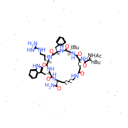 CCCC[C@H](NC(C)=O)C(=O)N[C@H]1CCC(=O)NCCCC[C@@H](C(N)=O)NC(=O)[C@H](Cc2c[nH]c3ccccc23)NC(=O)[C@H](CCCNC(=N)N)NC(=O)[C@@H](Cc2ccccc2)NC(=O)[C@H](C(C)(C)C)NC1=O